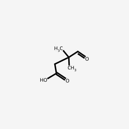 CC(C)(C=O)CC(=O)O